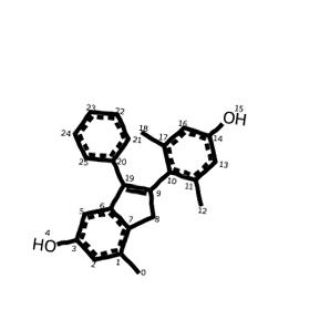 Cc1cc(O)cc2c1CC(c1c(C)cc(O)cc1C)=C2c1ccccc1